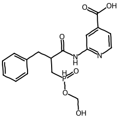 O=C(O)c1ccnc(NC(=O)C(Cc2ccccc2)C[PH](=O)OCO)c1